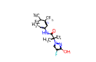 C/C=C(\C=C(/C(C#N)CC)C(F)(F)F)NC(=O)C(C)(CC)n1cc(F)c(O)n1